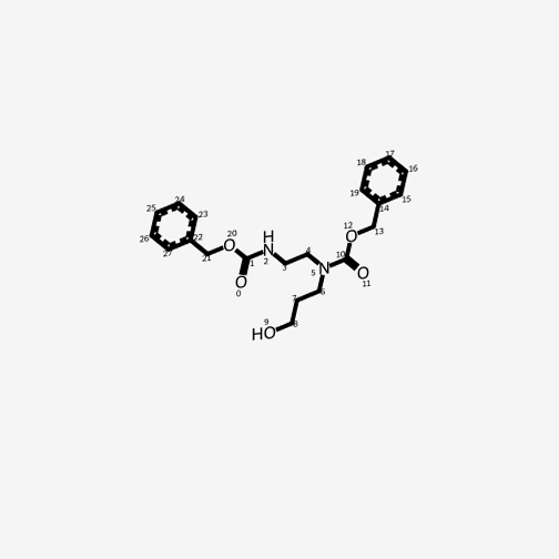 O=C(NCCN(CCCO)C(=O)OCc1ccccc1)OCc1ccccc1